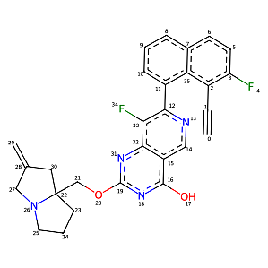 C#Cc1c(F)ccc2cccc(-c3ncc4c(O)nc(OCC56CCCN5CC(=C)C6)nc4c3F)c12